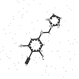 C#Cc1c(F)cc(OCn2nccn2)cc1F